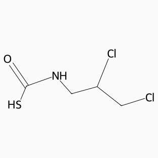 O=C(S)NCC(Cl)CCl